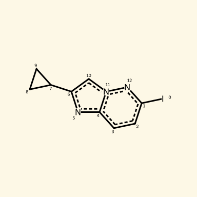 Ic1ccc2nc(C3CC3)cn2n1